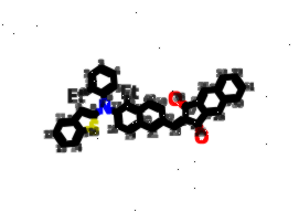 CCc1ccccc1N(c1cc2ccccc2s1)c1ccc2cc(C=C3C(=O)c4cc5ccccc5cc4C3=O)ccc2c1CC